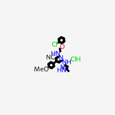 COc1ccc(-c2cc(Nc3cc(C)[nH]n3)nc(NCCOc3ccccc3Cl)c2C#N)cc1.Cl